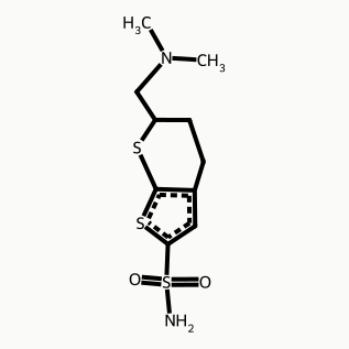 CN(C)CC1CCc2cc(S(N)(=O)=O)sc2S1